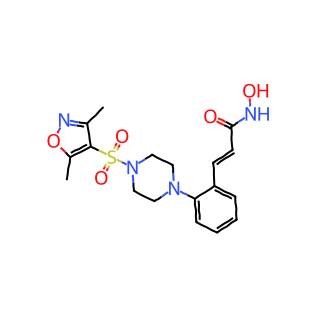 Cc1noc(C)c1S(=O)(=O)N1CCN(c2ccccc2C=CC(=O)NO)CC1